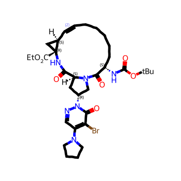 CCOC(=O)[C@@]12C[C@H]1/C=C\CCCCC[C@H](NC(=O)OC(C)(C)C)C(=O)N1C[C@H](n3ncc(N4CCCC4)c(Br)c3=O)C[C@H]1C(=O)N2